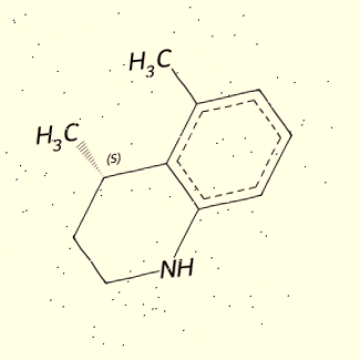 Cc1cccc2c1[C@@H](C)CCN2